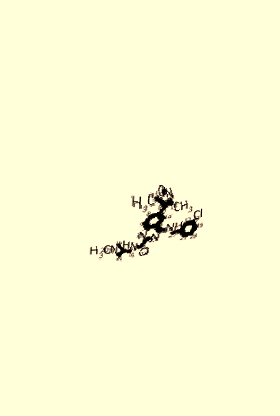 Cc1noc(C)c1-c1ccc2nc(C(=O)NCC3CN(C)C3)nc(NCc3cccc(Cl)c3)c2c1